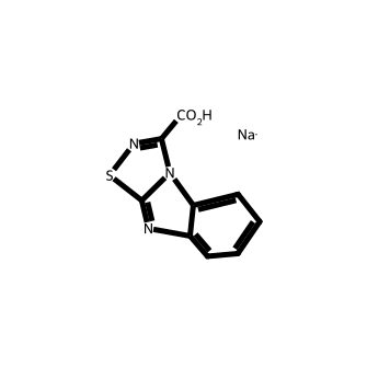 O=C(O)c1nsc2nc3ccccc3n12.[Na]